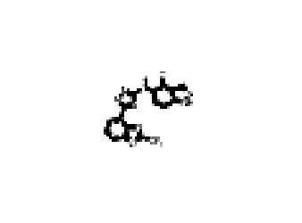 FC(F)(F)c1nc2c(-c3nnc(Nc4ccc5[nH]ncc5c4Cl)s3)cccc2o1